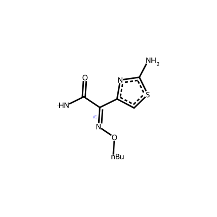 CCCCO/N=C(/C([NH])=O)c1csc(N)n1